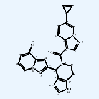 O=C(c1cnn2cc(C3CC3)ccc12)N1CCc2[nH]cnc2C1c1cc2c(Cl)cccn2n1